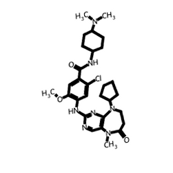 COc1cc(C(=O)NC2CCC(N(C)C)CC2)c(Cl)cc1Nc1ncc2c(n1)N(C1CCCC1)CCC(=O)N2C